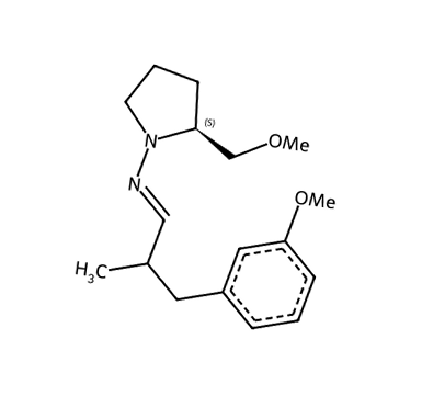 COC[C@@H]1CCCN1N=CC(C)Cc1cccc(OC)c1